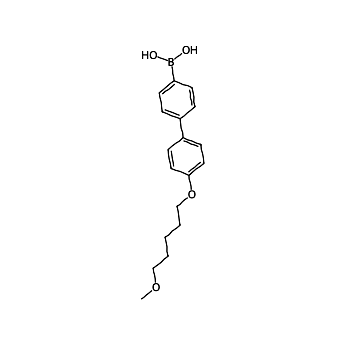 COCCCCCOc1ccc(-c2ccc(B(O)O)cc2)cc1